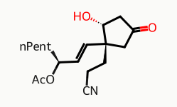 CCCCC[C@@H](/C=C/[C@@]1(CCC#N)CC(=O)C[C@H]1O)OC(C)=O